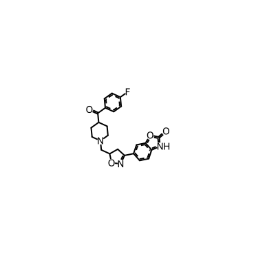 O=C(c1ccc(F)cc1)C1CCN(CC2CC(c3ccc4[nH]c(=O)oc4c3)=NO2)CC1